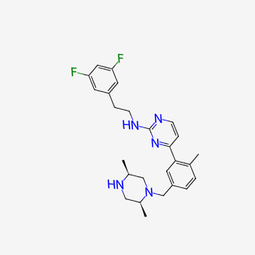 Cc1ccc(CN2C[C@H](C)NC[C@@H]2C)cc1-c1ccnc(NCCc2cc(F)cc(F)c2)n1